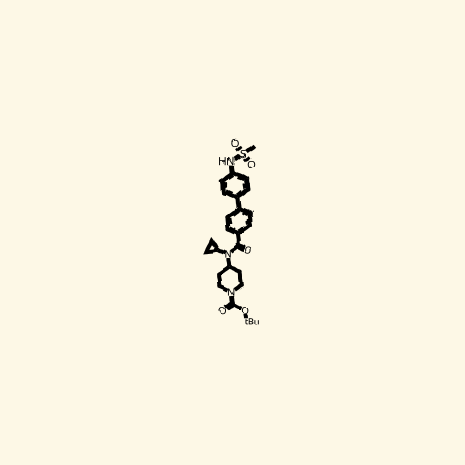 CC(C)(C)OC(=O)N1CCC(N(C(=O)c2ccc(-c3ccc(NS(C)(=O)=O)cc3)cc2)C2CC2)CC1